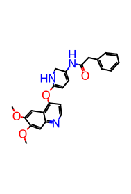 COc1cc2nccc(OC3=CC=C(NC(=O)Cc4ccccc4)CN3)c2cc1OC